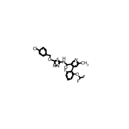 Cc1cc(-c2c(F)cccc2OC(F)F)c(C(=O)Nc2nnc(OCc3ccc(Cl)cc3)s2)cn1